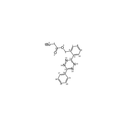 CC(C)(C)CC(=O)OCc1ccccc1-c1nnc(-c2ccccc2)nn1